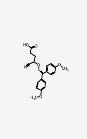 COc1ccc(C(=NOC(C#N)CCC(=O)O)c2ccc(OC)cc2)cc1